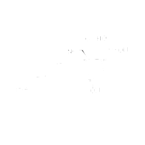 C=CCCCCN(C)C(=O)[C@@H]1C[C@@H](O)C[C@H]1C(O)O